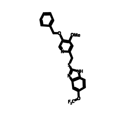 COc1cc(CSc2nc3cc(OC(F)(F)F)ccc3[nH]2)ncc1OCc1ccccc1